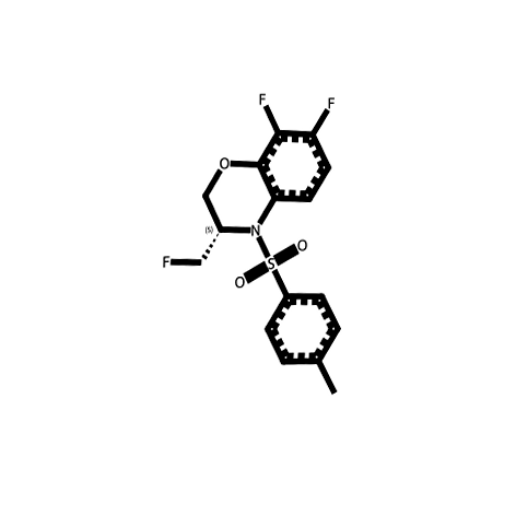 Cc1ccc(S(=O)(=O)N2c3ccc(F)c(F)c3OC[C@H]2CF)cc1